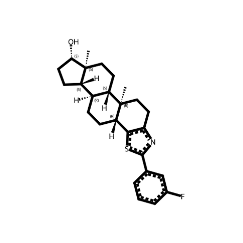 C[C@]12CCc3nc(-c4cccc(F)c4)sc3[C@@H]1CC[C@@H]1[C@@H]2CC[C@]2(C)[C@@H](O)CC[C@@H]12